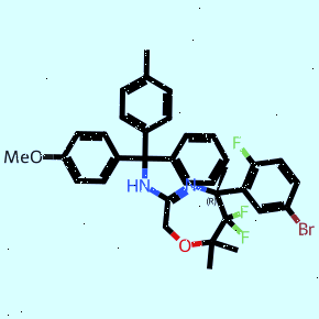 COc1ccc(C(NC2=N[C@](C)(c3cc(Br)ccc3F)C(F)(F)C(C)(C)OC2)(c2ccccc2)c2ccc(C)cc2)cc1